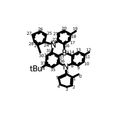 CC1=CCCC=C1N1c2ccc(C)cc2B2c3cc(C)ccc3N(c3ccccc3C)c3cc(C(C)(C)C)cc1c32